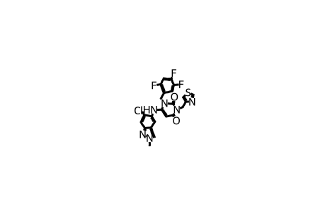 Cn1cc2cc(Nc3cc(=O)n(Cc4cscn4)c(=O)n3Cc3cc(F)c(F)cc3F)c(Cl)cc2n1